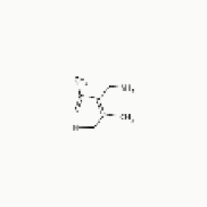 Cc1cncc(C)c1CN